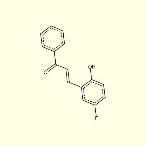 O=C(/C=C/c1cc(F)ccc1O)c1ccccc1